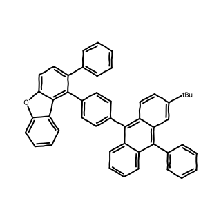 CC(C)(C)c1ccc2c(-c3ccc(-c4c(-c5ccccc5)ccc5oc6ccccc6c45)cc3)c3ccccc3c(-c3ccccc3)c2c1